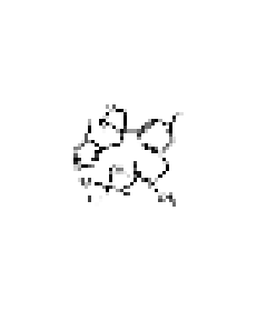 CN(Cc1cc(C2(Cc3nncn3C)COC2)cc(Cl)n1)C(=O)OC(C)(C)C